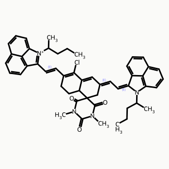 CCCC(C)n1/c(=C/C=C2/C=C3C(Cl)=C(/C=C/C4=[N+](C(C)CCC)c5cccc6cccc4c56)CCC3C3(C2)C(=O)N(C)C(=O)N(C)C3=O)c2cccc3cccc1c32